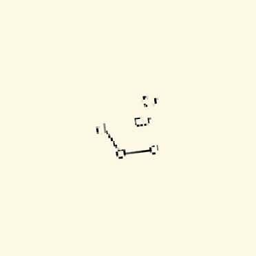 ClOCl.[Cu].[Cu]